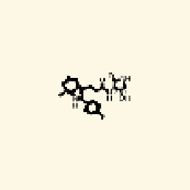 Cc1cc(F)cc2c(CCC(=O)N[C@@H]3C(=O)NC[C@H]3O)c(-c3ccc(F)cc3)[nH]c12